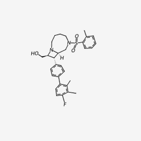 Cc1ccccc1S(=O)(=O)N1CCCCN2[C@H](CO)[C@@H](c3ccc(-c4ccc(F)c(C)c4C)cc3)[C@@H]2C1